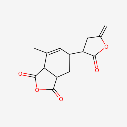 C=C1CC(C2C=C(C)C3C(=O)OC(=O)C3C2)C(=O)O1